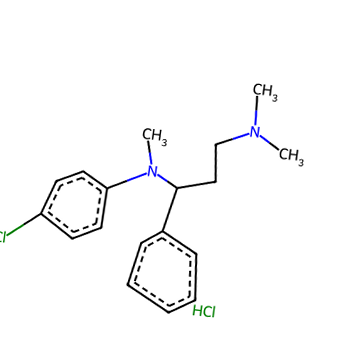 CN(C)CCC(c1ccccc1)N(C)c1ccc(Cl)cc1.Cl